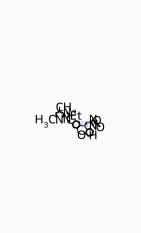 CCc1nc2c(C)cc(C)nc2n1Cc1ccc2c(c1)COc1ccccc1/C2=C\c1noc(=O)[nH]1